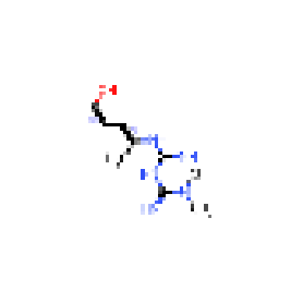 C/C(=C\C=C/O)NC(=N)NC(=N)N(C)C